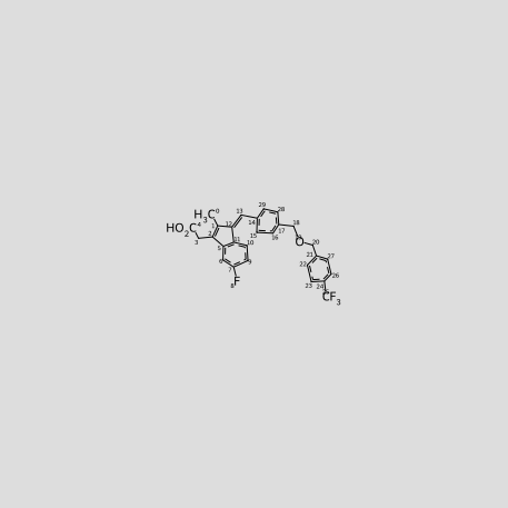 CC1=C(CC(=O)O)c2cc(F)ccc2C1=Cc1ccc(COCc2ccc(C(F)(F)F)cc2)cc1